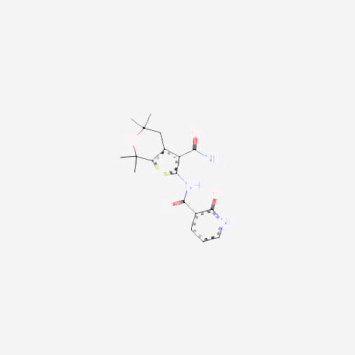 CC1(C)Cc2c(sc(NC(=O)c3ccc[nH]c3=O)c2C(N)=O)C(C)(C)O1